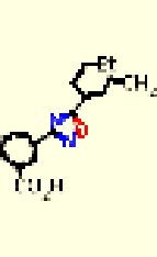 C=C/C=C(\C=C/CC)c1nc(-c2cccc(C(=O)O)c2)no1